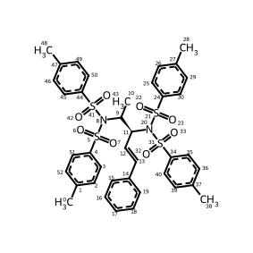 Cc1ccc(S(=O)(=O)N(C(C)[C@H](/C=C/c2ccccc2)N(S(=O)(=O)c2ccc(C)cc2)S(=O)(=O)c2ccc(C)cc2)S(=O)(=O)c2ccc(C)cc2)cc1